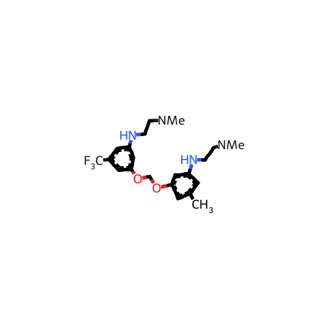 CNCCNc1cc(C)cc(OCOc2cc(NCCNC)cc(C(F)(F)F)c2)c1